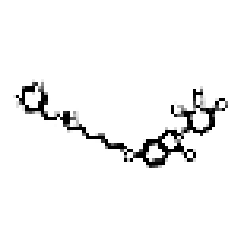 O=C1CCC(N2Cc3cc(OCCCCCCNCc4cncnc4)ccc3C2=O)C(=O)N1